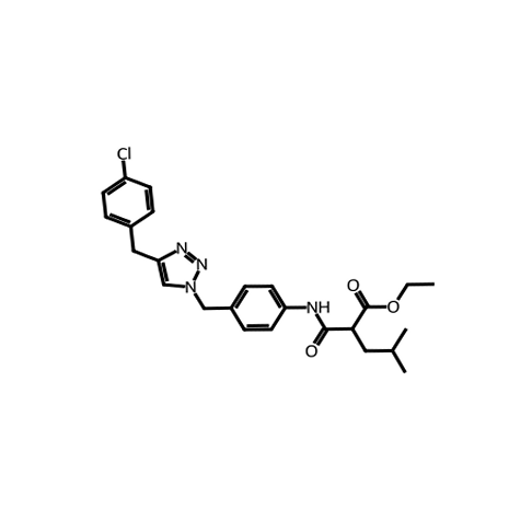 CCOC(=O)C(CC(C)C)C(=O)Nc1ccc(Cn2cc(Cc3ccc(Cl)cc3)nn2)cc1